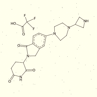 O=C(O)C(F)(F)F.O=C1CCC(N2Cc3cc(N4CCN(C5CNC5)CC4)ccc3C2=O)C(=O)N1